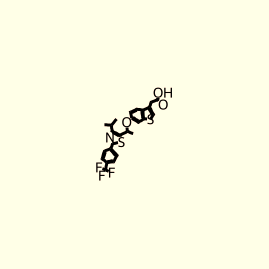 CC(C)c1nc(-c2ccc(C(F)(F)F)cc2)sc1C(C)Oc1ccc2c(CC(=O)O)csc2c1